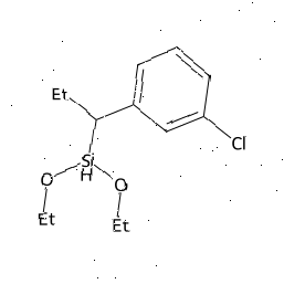 CCO[SiH](OCC)C(CC)c1cccc(Cl)c1